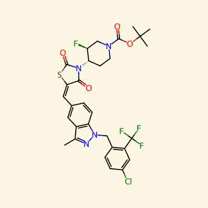 Cc1nn(Cc2ccc(Cl)cc2C(F)(F)F)c2ccc(C=C3SC(=O)N([C@H]4CCN(C(=O)OC(C)(C)C)C[C@@H]4F)C3=O)cc12